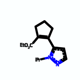 CCOC(=O)C1=C(c2ccnn2C(C)C)CCC1